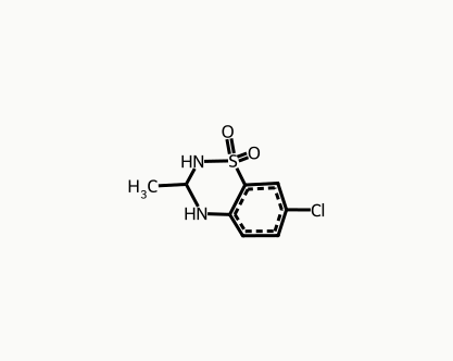 CC1Nc2ccc(Cl)cc2S(=O)(=O)N1